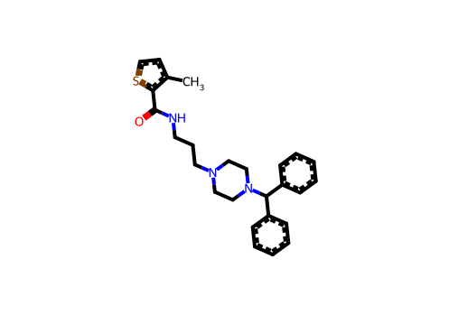 Cc1ccsc1C(=O)NCCCN1CCN(C(c2ccccc2)c2ccccc2)CC1